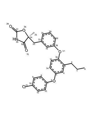 CCCc1cc(Oc2ccc(Cl)cc2)ccc1Oc1cccc(C[C@]2(C)OC(=O)NC2=O)c1